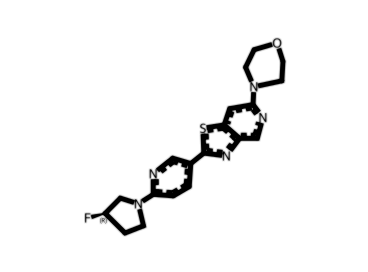 F[C@@H]1CCN(c2ccc(-c3nc4cnc(N5CCOCC5)cc4s3)cn2)C1